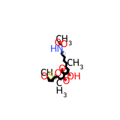 COC(=O)N/C=C/CCC(C)c1cc(O)c(C(=O)C(C)Cc2ccc(OC)s2)c(=O)o1